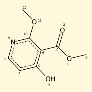 COC(=O)c1c(O)ccnc1OC